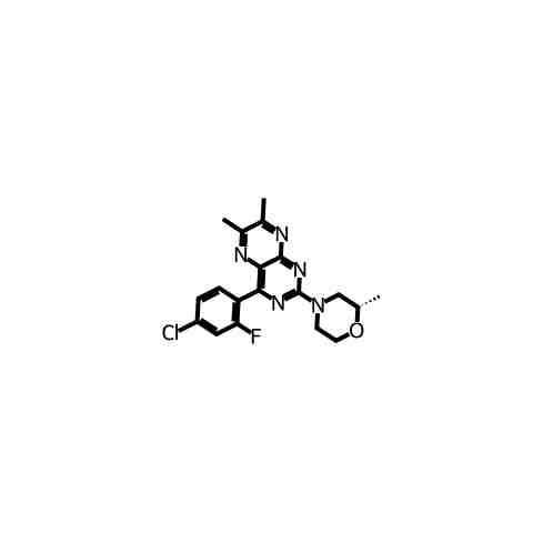 Cc1nc2nc(N3CCO[C@@H](C)C3)nc(-c3ccc(Cl)cc3F)c2nc1C